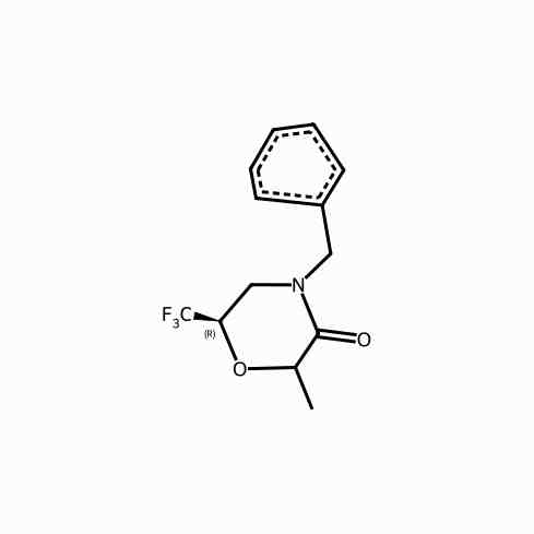 CC1O[C@@H](C(F)(F)F)CN(Cc2ccccc2)C1=O